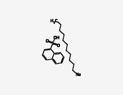 CCCCCCCCCC[CH2][Na].O=S(=O)(O)c1cccc2ccccc12